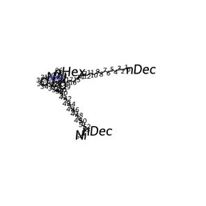 CCCCCCCCCCCCCCCCCCCCCCCC#CCCc1ccccc1/N=C(CCCCCC)\C(CC)=N\c1ccccc1CCC#CCCCCCCCCCCCCCCCCCCCCCCC.[Ni]